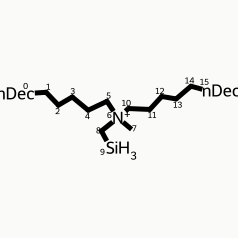 CCCCCCCCCCCCCCC[N+](C)(C[SiH3])CCCCCCCCCCCCCCC